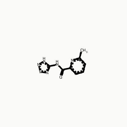 Cc1cccc(C(=O)Nc2nnn[nH]2)n1